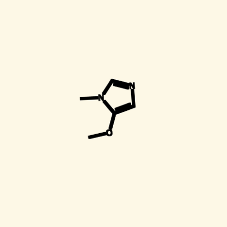 COc1cncn1C